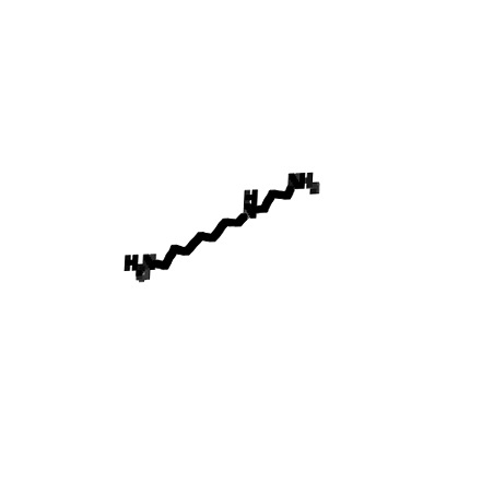 NCCCCCCCNCCCN.[Li]